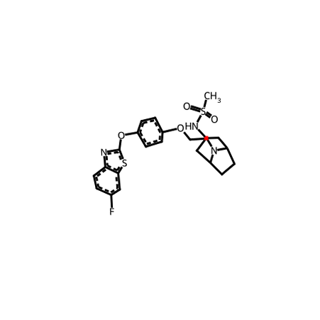 CS(=O)(=O)NC1CC2CCC(C1)N2CCOc1ccc(Oc2nc3ccc(F)cc3s2)cc1